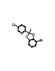 CC1(c2ccc(Cl)cn2)Oc2cccc(Br)c2O1